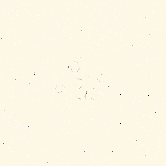 CN1C(=O)C2(CCN(C(=O)O)CC2)c2c1cnc1c2c(Br)c(-c2cnn(C)c2)n1S(=O)(=O)c1ccccc1